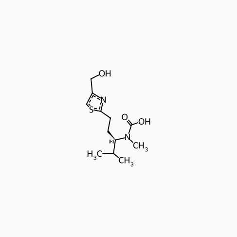 CC(C)[C@@H](CCc1nc(CO)cs1)N(C)C(=O)O